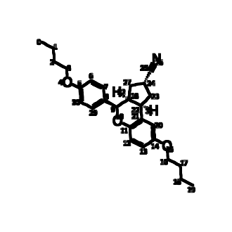 CCCCOc1ccc([C@@H]2Oc3ccc(OCCCC)cc3[C@@H]3C[C@@H](C#N)C[C@@H]32)cc1